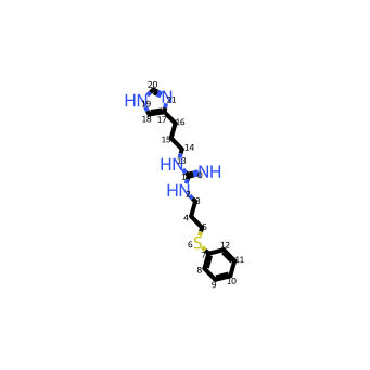 N=C(NCCCSc1ccccc1)NCCCc1c[nH]cn1